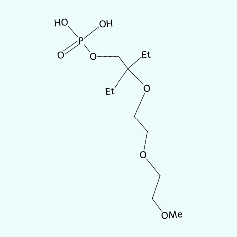 CCC(CC)(COP(=O)(O)O)OCCOCCOC